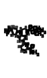 CC(C)(C)OC(=O)N1CCN(c2ccc(C(F)(F)F)cc2)c2ccc(-c3cccc(C(N)=O)n3)cc2C1